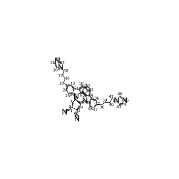 N#Cc1cc(-n2c3ccccc3c3cc(CCCCn4ccnc4)ccc32)c(-n2c3ccccc3c3cc(CCCCn4ccnc4)ccc32)cc1C#N